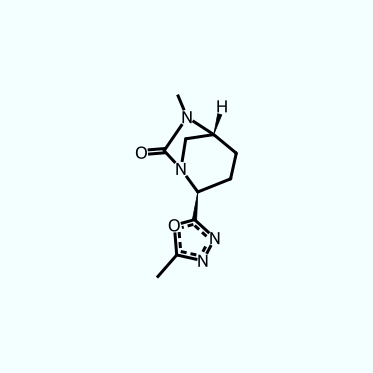 Cc1nnc([C@@H]2CC[C@@H]3CN2C(=O)N3C)o1